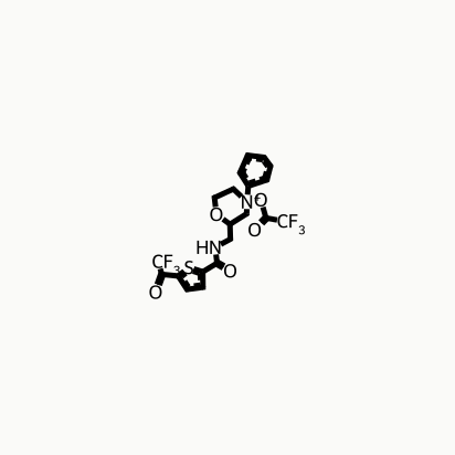 O=C(NCC1C[N+](OC(=O)C(F)(F)F)(c2ccccc2)CCO1)c1ccc(C(=O)C(F)(F)F)s1